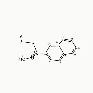 CCCC(=NO)c1ccc2cnccc2c1